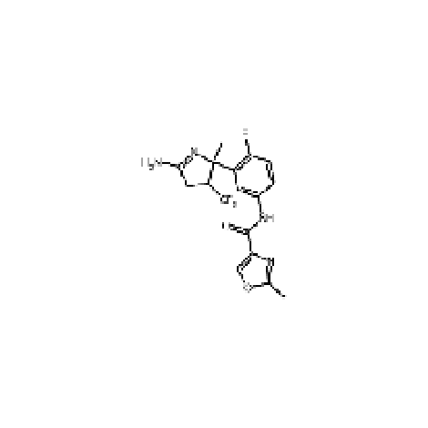 Cc1nc(C(=O)Nc2ccc(F)c(C3(C)N=C(N)CC3C(F)(F)F)c2)co1